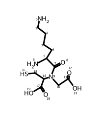 NCCCCC(N)C(=O)N(CC(=O)O)C(CS)C(=O)O